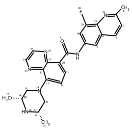 Cc1ccc2cc(NC(=O)c3ccc(N4C[C@@H](C)N[C@@H](C)C4)c4nccnc34)cc(F)c2n1